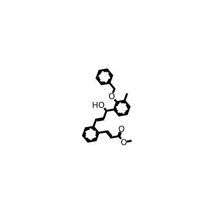 COC(=O)C=Cc1ccccc1C=CC(O)c1cccc(C)c1OCc1ccccc1